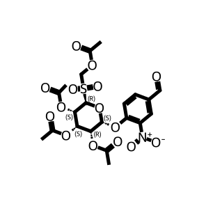 CC(=O)OCS(=O)(=O)[C@H]1O[C@H](Oc2ccc(C=O)cc2[N+](=O)[O-])[C@H](OC(C)=O)[C@H](OC(C)=O)[C@@H]1OC(C)=O